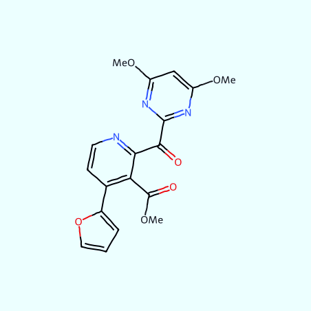 COC(=O)c1c(-c2ccco2)ccnc1C(=O)c1nc(OC)cc(OC)n1